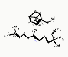 C=CC(C)(O)CC/C=C(\C)CCC=C(C)C.CC1(C)C2CC=C(CO)C1C2